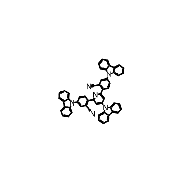 N#Cc1cc(-n2c3ccccc3c3ccccc32)ccc1-c1cc(-n2c3ccccc3c3ccccc32)cc(-c2ccc(-n3c4ccccc4c4ccccc43)cc2C#N)n1